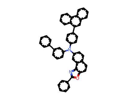 c1ccc(-c2cccc(N(c3ccc(-c4cc5ccccc5c5ccccc45)cc3)c3ccc4ccc5oc(-c6ccccc6)nc5c4c3)c2)cc1